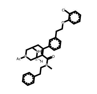 CC(=O)N1CC2CC(c3cccc(CCOc4ccccc4Cl)c3)=C(C(=O)N(C)CCc3ccccc3)[C@@H](C1)N2